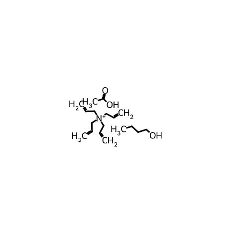 C=CC[N+](CC=C)(CC=C)CC=C.CC(=O)O.CCCCO